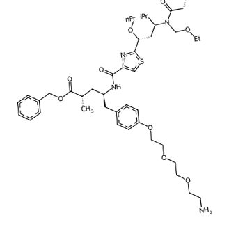 CCCO[C@H](CC(C(C)C)N(COCC)C(=O)C[C@@H](C)CC)c1nc(C(=O)N[C@@H](Cc2ccc(OCCOCCOCCN)cc2)C[C@H](C)C(=O)OCc2ccccc2)cs1